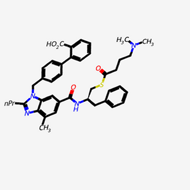 CCCc1nc2c(C)cc(C(=O)N[C@@H](CSC(=O)CCCN(C)C)Cc3ccccc3)cc2n1Cc1ccc(-c2ccccc2C(=O)O)cc1